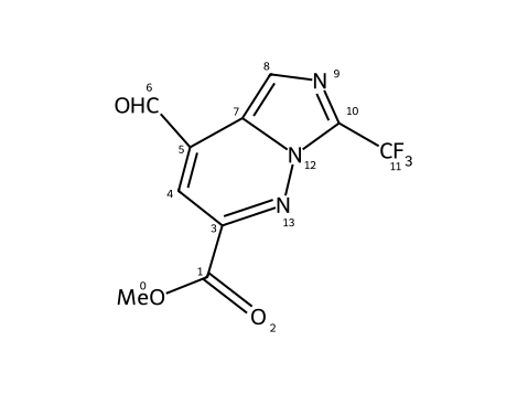 COC(=O)c1cc(C=O)c2cnc(C(F)(F)F)n2n1